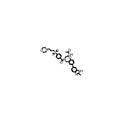 CC(=O)O.Cc1nc2ccc(-c3ccc4c(c3)CN(C(=O)c3ccc(S(=O)(=O)CCCN5CCOCC5)cc3)CCO4)cc2[nH]1